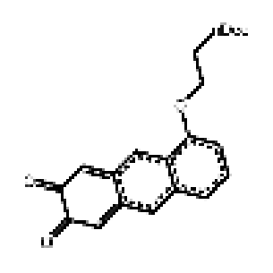 CCCCCCCCCCCCOc1cccc2cc3c(cc12)=CC(=O)C(=O)C=3